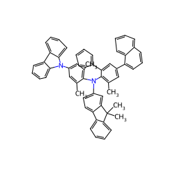 Cc1cc(-n2c3ccccc3c3ccccc32)cc(C)c1N(c1ccc2c(c1)C(C)(C)c1ccccc1-2)c1c(C)cc(-c2cccc3ccccc23)cc1-c1ccccc1